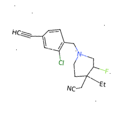 C#Cc1ccc(CN2CCC(CC)(CC#N)C(F)C2)c(Cl)c1